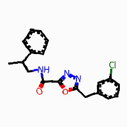 CC(CNC(=O)c1nnc(Cc2cccc(Cl)c2)o1)c1ccccc1